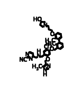 Cc1[nH]cnc1COc1cc(OCc2cccc(-c3cccc(OCCCN4CCC(O)C4)c3C)c2C)c(Cl)cc1CNCc1ccnc(C#N)n1